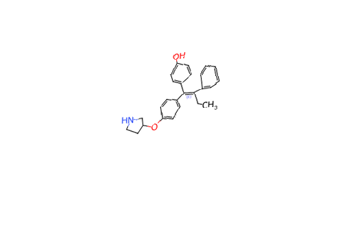 CC/C(=C(/c1ccc(O)cc1)c1ccc(OC2CCNC2)cc1)c1ccccc1